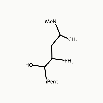 CCCC(C)C(O)C(P)CC(C)NC